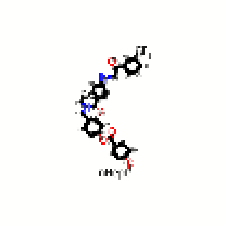 CCCCCCCOc1ccc(C(=O)Oc2ccc(CN(CC(=O)O)C(=O)c3ccc(NCC(=O)c4cccc(C(F)(F)F)c4)cc3)cc2)cc1